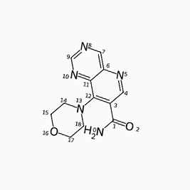 NC(=O)c1cnc2cncnc2c1N1CCOCC1